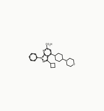 O=C(O)c1cc(C2CCC(N3CCOCC3)CC2)c2c(C3CCC3)nn(-c3ccccc3)c2n1